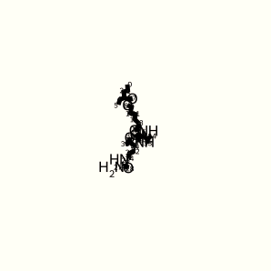 CCCC(CC)C(=O)OCCCCCC(=O)N[C@H](C(=O)N[C@@H](CCCNC(N)=O)C(C)=O)C(C)C